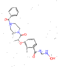 Cc1c(OC(C)C(=O)N2CCN(C(=O)c3ccccc3)C[C@H]2C)cccc1C(=O)/N=C/NO